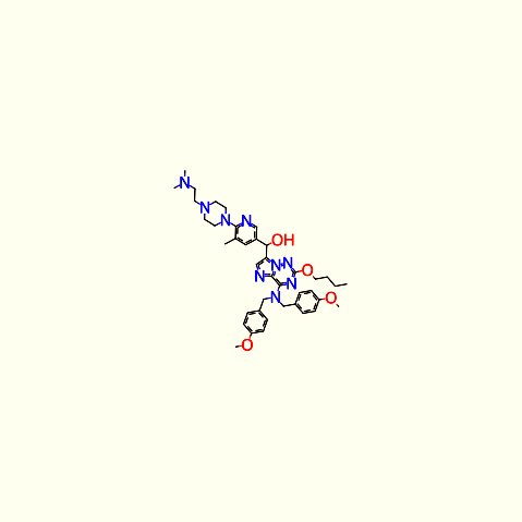 CCCCOc1nc(N(Cc2ccc(OC)cc2)Cc2ccc(OC)cc2)c2ncc(C(O)c3cnc(N4CCN(CCN(C)C)CC4)c(C)c3)n2n1